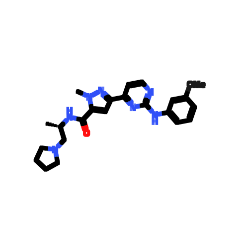 COc1cccc(Nc2nccc(-c3cc(C(=O)N[C@@H](C)CN4CCCC4)n(C)n3)n2)c1